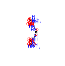 COC(=O)C1=C[C@H](NC(=N)N)[C@@H](NC(C)=O)[C@H]([C@H](OOCNCCCNC(=O)c2ccc(OCNCCCNC(=O)O[C@@H]([C@@H]3OC(C(=O)OC)=C[C@H](NC(=N)N)[C@H]3NC(C)=O)[C@H]3COC(=O)O3)cc2)[C@H]2COC(=O)O2)O1